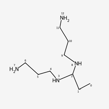 C[CH]C(NCCCN)NCCCN